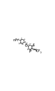 CCCc1ccc(COc2cc(F)c(C#CC(F)(F)F)c(F)c2)cc1